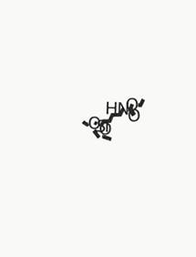 CCOC(=O)NCCCC[Si](CC)(OCC)OCC